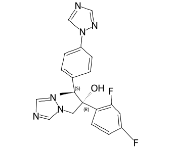 C[C@@H](c1ccc(-n2cncn2)cc1)[C@](O)(Cn1cncn1)c1ccc(F)cc1F